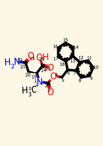 CN(C(=O)OCC1c2ccccc2-c2ccccc21)[C@@H](CC(N)=O)C(=O)O